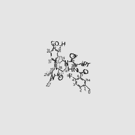 Cc1ccc(F)c(C(=O)N[C@@H](C(=O)N2CCC3(CC2)C(=O)N(C)[C@H](C)N3c2ccc(C(=O)O)cc2)C(C)C)c1